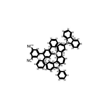 N#Cc1cc(C#N)cc(-c2cc(-c3ccccc3)c(-n3c4ccc(-n5c6ccccc6c6ccccc65)cc4c4ccc5c(c6ccccc6n5-c5ccccc5)c43)cc2-c2ccccc2)c1